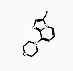 Fc1cnc2c(N3CCOCC3)cccn12